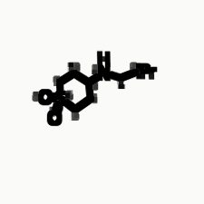 CC(C)CNC1CCS(=O)(=O)CC1